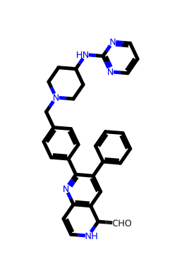 O=CC1NC=Cc2nc(-c3ccc(CN4CCC(Nc5ncccn5)CC4)cc3)c(-c3ccccc3)cc21